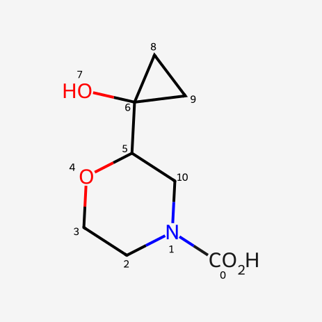 O=C(O)N1CCOC(C2(O)CC2)C1